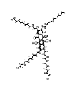 CCCCCCCCCCCCc1cc2c(cc1CCCCCCCCCCCC)C(=O)c1c(c(O)c3cc(CCCCCCCCCCCC)c(CCCCCCCCCCCC)cc3c1O)C2=O